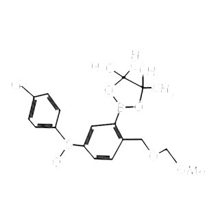 COCOCc1ccc([S+]([O-])c2ccc(Cl)cc2)cc1B1OC(C)(C)C(C)(C)O1